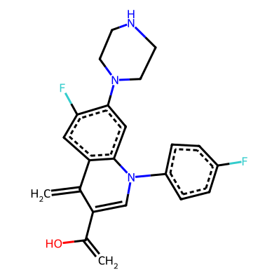 C=C(O)C1=CN(c2ccc(F)cc2)c2cc(N3CCNCC3)c(F)cc2C1=C